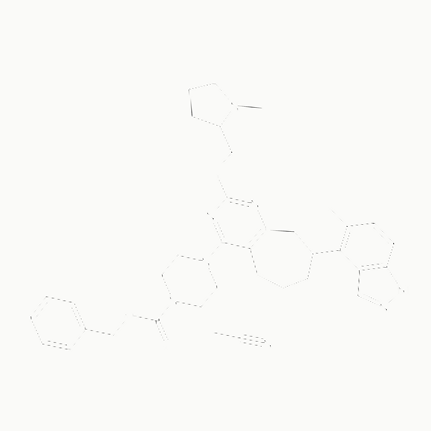 Cc1ccc2[nH]ncc2c1C1CCCc2c(nc(OCC3CCCN3C)nc2N2CCN(C(=O)OCc3ccccc3)[C@@H](CC#N)C2)C1